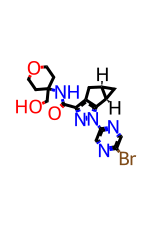 O=C(NC1(CO)CCOCC1)c1nn(-c2cnc(Br)cn2)c2c1C[C@H]1C[C@@H]21